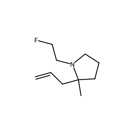 C=CCC1(C)CCCN1CCF